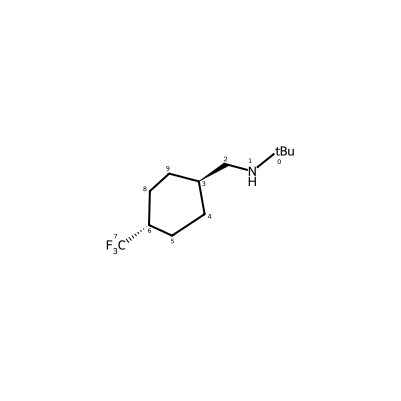 CC(C)(C)NC[C@H]1CC[C@H](C(F)(F)F)CC1